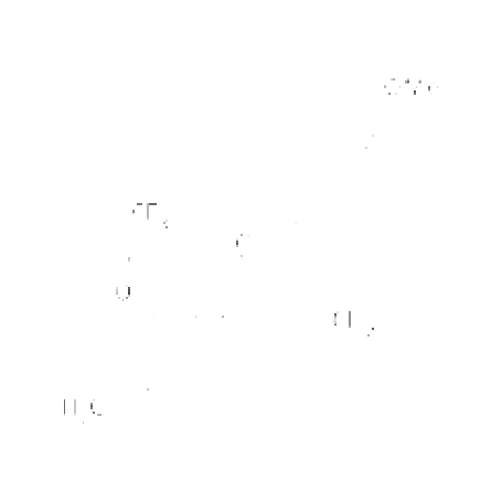 C=C/C(OCCCOC)=C(\C=C)OC(F)(F)F